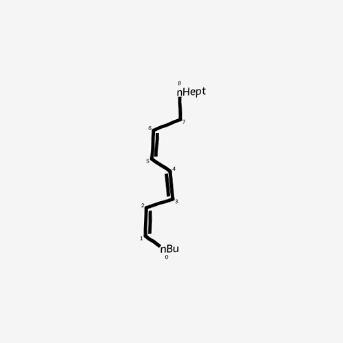 CCCC\C=C/C=C\C=C/CCCCCCCC